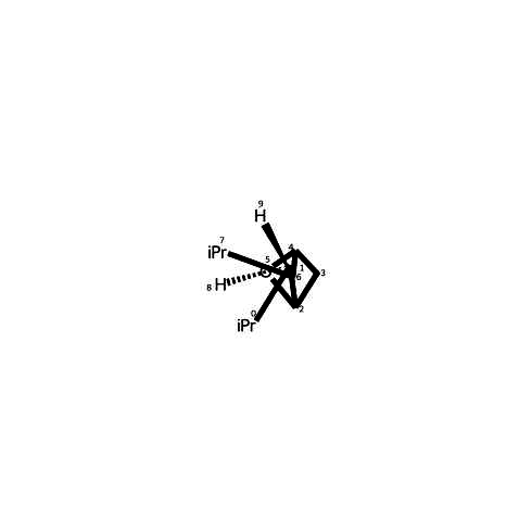 CC(C)[C@@H]1C2CC(O2)[C@@H]1C(C)C